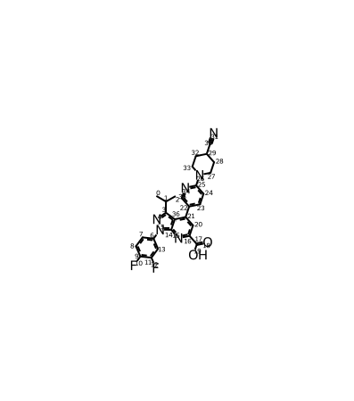 CC(C)c1nn(-c2ccc(F)c(F)c2)c2nc(C(=O)O)cc(-c3ccc(N4CCC(C#N)CC4)nc3)c12